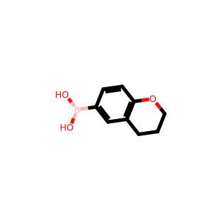 OB(O)c1ccc2c(c1)CCCO2